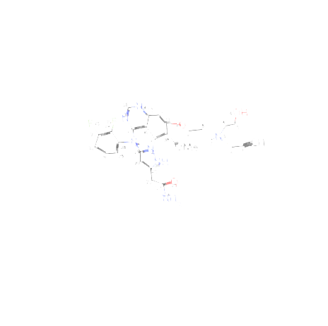 C#CCN(CCO)CCCOc1cc2ncnc(N(c3cc(CC(N)=O)[nH]n3)c3cccc(F)c3F)c2cc1OC